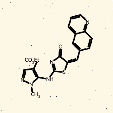 CCOC(=O)c1cnn(C)c1NC1=NC(=O)C(=Cc2ccc3ncccc3c2)S1